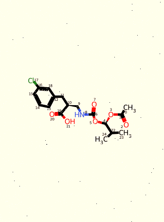 CC(=O)O[C@H](OC(=O)NC[C@H](Cc1cccc(Cl)c1)C(=O)O)C(C)C